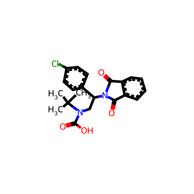 CC(C)(C)N(CC(c1ccc(Cl)cc1)N1C(=O)c2ccccc2C1=O)C(=O)O